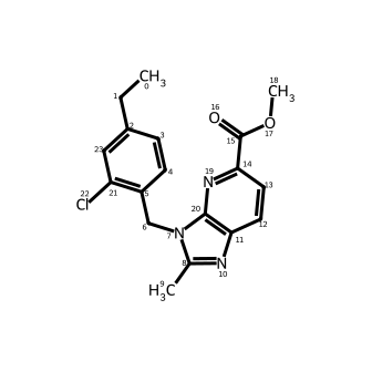 CCc1ccc(Cn2c(C)nc3ccc(C(=O)OC)nc32)c(Cl)c1